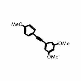 COc1ccc(C#Cc2cc(OC)cc(OC)c2)cc1